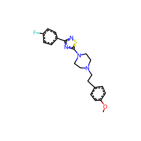 COc1ccc(CCN2CCN(c3nc(-c4ccc(F)cc4)ns3)CC2)cc1